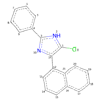 Clc1[nH]c(-c2ccccc2)nc1-c1cccc2ccccc12